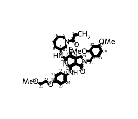 C=CC(=O)N1CCCCC(Nc2nc(Nc3ccc(OCCOC)cc3)c3c(c2F)CN(Cc2ccc(OC)cc2OC)C3=O)C1